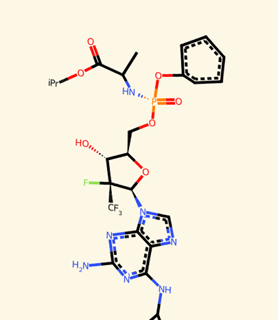 CC(C)OC(=O)C(C)N[P@](=O)(OC[C@H]1O[C@@H](n2cnc3c(NC4CC4)nc(N)nc32)[C@@](F)(C(F)(F)F)[C@@H]1O)Oc1ccccc1